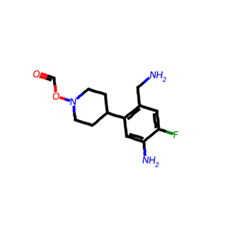 NCc1cc(F)c(N)cc1C1CCN(OC=O)CC1